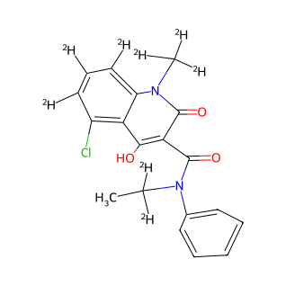 [2H]c1c([2H])c([2H])c2c(c(O)c(C(=O)N(c3ccccc3)C([2H])([2H])C)c(=O)n2C([2H])([2H])[2H])c1Cl